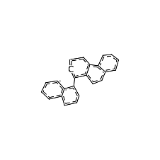 [c]1cccc2cccc(-c3cccc4c3ccc3ccccc34)c12